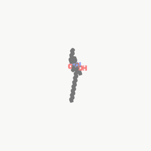 CCCCCCCCCCCCCCC(CC)C(C(=O)O)C(C)C(=O)Nc1ccc(CCCC)cc1